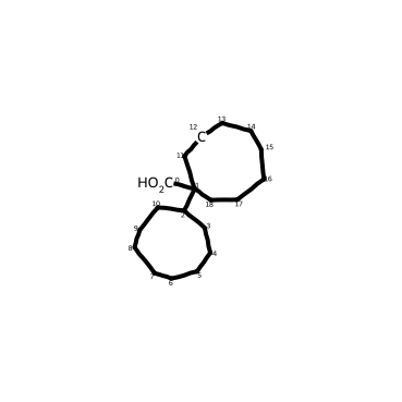 O=C(O)C1(C2CCCCCCCC2)CCCCCCCC1